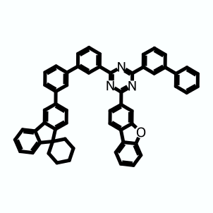 c1ccc(-c2cccc(-c3nc(-c4cccc(-c5cccc(-c6ccc7c(c6)-c6ccccc6C76CCCCC6)c5)c4)nc(-c4ccc5c(c4)oc4ccccc45)n3)c2)cc1